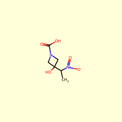 CC([N+](=O)[O-])C1(O)CN(C(=O)O)C1